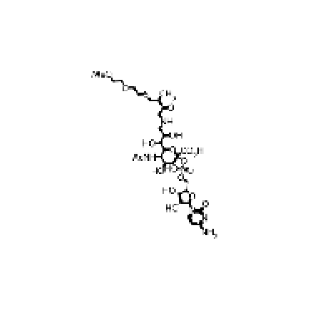 COCCOCCSCC(C)C(=O)CNCC(O)C(O)C1OC(OP(=O)(O)OC[C@H]2O[C@@H](n3ccc(N)nc3=O)[C@H](O)[C@@H]2O)(C(=O)O)CC(O)C1NC(C)=O